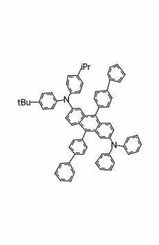 CC(C)c1ccc(N(c2ccc(C(C)(C)C)cc2)c2ccc3c(-c4ccc(-c5ccccc5)cc4)c4cc(N(c5ccccc5)c5ccccc5)ccc4c(-c4ccc(-c5ccccc5)cc4)c3c2)cc1